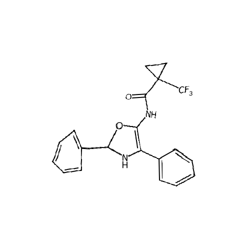 O=C(NC1=C(c2ccccc2)NC(c2ccccc2)O1)C1(C(F)(F)F)CC1